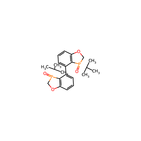 CC(C)(C)[P@]1(=O)COc2cccc(-c3cccc4c3[P@](=O)(C(C)(C)C)CO4)c21